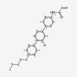 C=CC(=O)Nc1ccc(-c2ccc(-c3ccc(CCCCC)cc3)c(F)c2)cc1